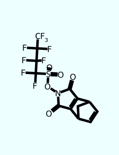 O=C1C2=C(C(=O)N1OS(=O)(=O)C(F)(F)C(F)(F)C(F)(F)C(F)(F)F)C1C=CC2C1